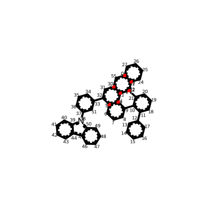 c1ccc(-c2ccccc2-c2c(-c3ccccc3)cccc2N(c2ccccc2)c2ccc(-c3cccc(-n4c5ccccc5c5ccccc54)c3)cc2)cc1